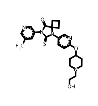 O=C1N(c2cncc(C(F)(F)F)c2)C(=S)N(c2ccc(OC3CCN(CCO)CC3)nc2)C12CCC2